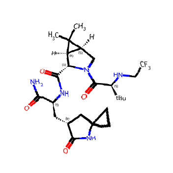 CC(C)(C)[C@H](NCC(F)(F)F)C(=O)N1C[C@H]2[C@@H]([C@H]1C(=O)N[C@@H](C[C@@H]1CC3(CC3)NC1=O)C(N)=O)C2(C)C